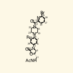 CC(=O)NC[C@H]1CN(c2ccc(N3CCN(C(=O)c4cccc(Br)n4)CC3)c(F)c2)C(=O)O1